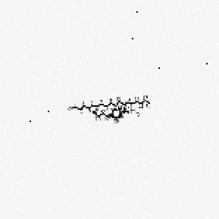 CCCCCCCCCCCCCCCCCCC.CCCCc1ccc(N)cc1